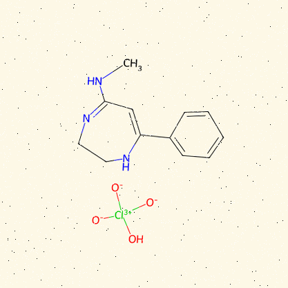 CNC1=NCCNC(c2ccccc2)=C1.[O-][Cl+3]([O-])([O-])O